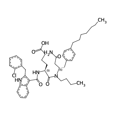 CCCCCCCc1ccc(C[C@@H](CC(N)=O)N(CCCC)C(=O)[C@H](CCCC(=O)O)NC(=O)c2c(Cc3ccccc3Cl)[nH]c3ccccc23)cc1